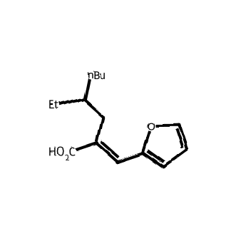 CCCCC(CC)CC(=Cc1ccco1)C(=O)O